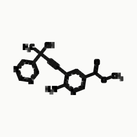 COC(=O)c1cnc(N)c(C#CC(C)(O)c2cncnc2)c1